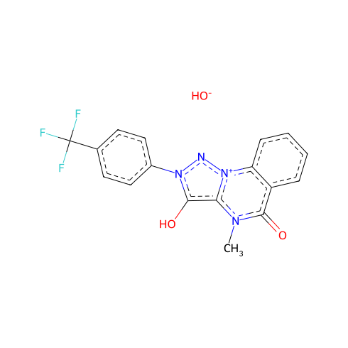 Cn1c(=O)c2ccccc2[n+]2nn(-c3ccc(C(F)(F)F)cc3)c(O)c12.[OH-]